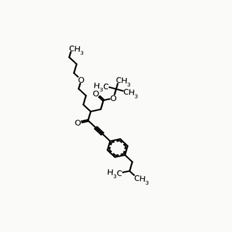 CCCCOCCCC(CC(=O)OC(C)(C)C)C(=O)C#Cc1ccc(CC(C)C)cc1